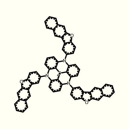 S=P12c3c4cccc3N(c3ccc5oc6cc7ccccc7cc6c5c3)c3cccc(c31)N(c1ccc3oc5cc6ccccc6cc5c3c1)c1cccc(c12)N4c1ccc2oc3cc4ccccc4cc3c2c1